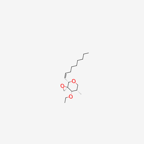 CCCCCCC/C=C\[C@@H]1OC[C@H](C)[C@H](OCC)[C@]12CO2